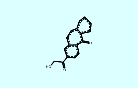 O=C(CO)c1ccc2c(=O)c3ccccc3ccc2c1